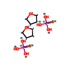 C1CCOC1.C1CCOC1.OP(O)(O)=S.OP(O)(O)=S